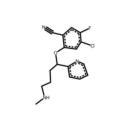 CNCCCC(Oc1cc(Cl)c(F)cc1C#N)c1ccccn1